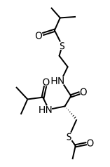 CC(=O)SC[C@H](NC(=O)C(C)C)C(=O)NCCSC(=O)C(C)C